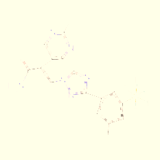 NC(=O)/C(=C/n1cnc(-c2cc(C(F)(F)F)cc(S(F)(F)(F)(F)F)c2)n1)c1cnc(F)nc1